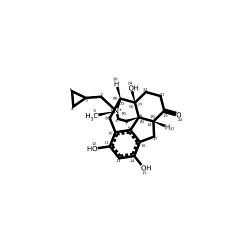 C[N@+]1(CC2CC2)CC[C@]23c4c5c(O)cc(O)c4C[C@H]2C(=O)CC[C@@]3(O)[C@H]1C5